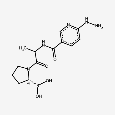 CC(NC(=O)c1ccc(NN)nc1)C(=O)N1CCC[C@H]1B(O)O